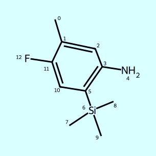 Cc1cc(N)c([Si](C)(C)C)cc1F